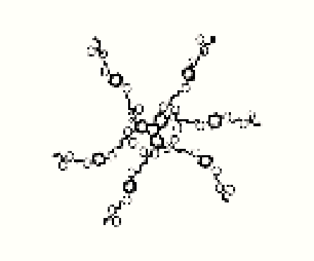 C=CC(=O)OCCOc1ccc(OC/C=C/C(=O)Oc2cc3c4cc(OC(=O)/C=C/COc5ccc(OCCOC(=O)C=C)cc5)c(OC(=O)/C=C/COc5ccc(OCCOC(=O)C=C)cc5)cc4c4cc(OC(=O)/C=C/COc5ccc(OCCOC(=O)C=C)cc5)c(OC(=O)/C=C/COc5ccc(OCCOC(=O)C=C)cc5)cc4c3cc2OC(=O)/C=C/COc2ccc(OCCOC(=O)C=C)cc2)cc1